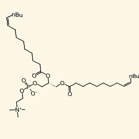 CCCC/C=C\CCCCCCCC(=O)OC[C@H](COP(=O)([O-])OCC[N+](C)(C)C)OC(=O)CCCCCCC/C=C\CCCC